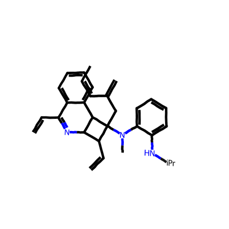 C=CC1=NC2C(C=C)C(CC(=C)/C=C\C)(N(C)c3ccccc3NC(C)C)C2c2ccccc21